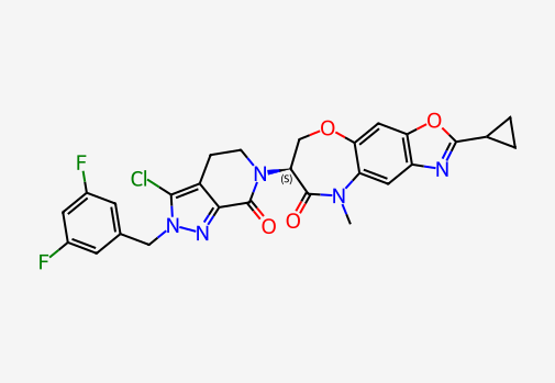 CN1C(=O)[C@@H](N2CCc3c(nn(Cc4cc(F)cc(F)c4)c3Cl)C2=O)COc2cc3oc(C4CC4)nc3cc21